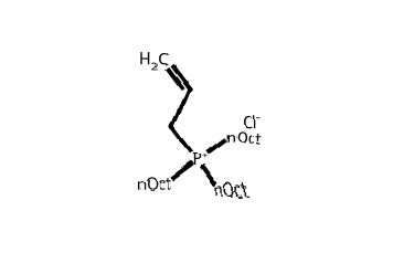 C=CC[P+](CCCCCCCC)(CCCCCCCC)CCCCCCCC.[Cl-]